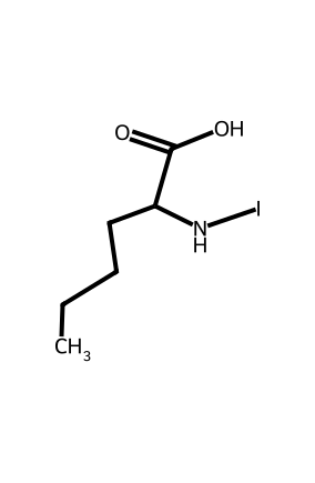 CCCCC(NI)C(=O)O